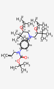 C=CCN(C(=O)OC(C)(C)C)c1ccc(N(CC(O[SiH](C)C)C(C)(C)C)CC(O[SiH](C)C)C(C)(C)C)cc1